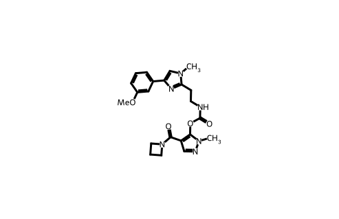 COc1cccc(-c2cn(C)c(CCNC(=O)Oc3c(C(=O)N4CCC4)cnn3C)n2)c1